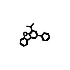 CC(C)c1cc(-c2ccccc2)cc2c1oc1ccccc12